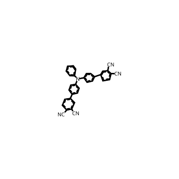 N#Cc1ccc(-c2ccc(N(c3ccccc3)c3ccc(-c4ccc(C#N)c(C#N)c4)cc3)cc2)cc1C#N